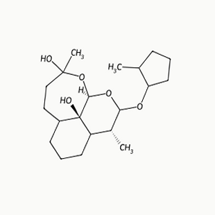 CC1CCCC1OC1O[C@@H]2OC(C)(O)CCC3CCCC([C@H]1C)[C@]32O